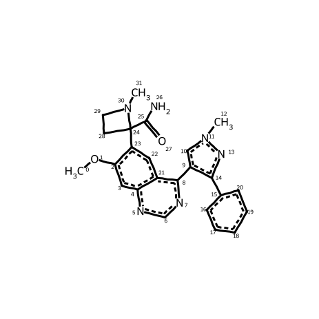 COc1cc2ncnc(-c3cn(C)nc3-c3ccccc3)c2cc1C1(C(N)=O)CCN1C